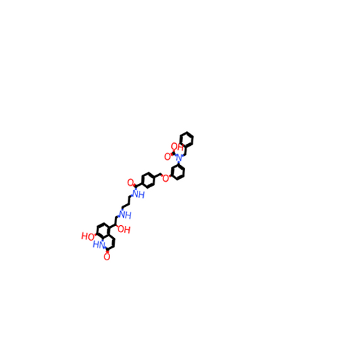 O=C(NCCCNC[C@@H](O)c1ccc(O)c2[nH]c(=O)ccc12)c1ccc(COc2cccc(N(Cc3ccccc3)C(=O)O)c2)cc1